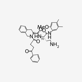 COc1cc(C)c(C)cc1NC(=O)[C@H](CCN)NC(=O)[C@@H]1Cc2ccccc2CN1C(=O)CCC(=O)c1ccccc1